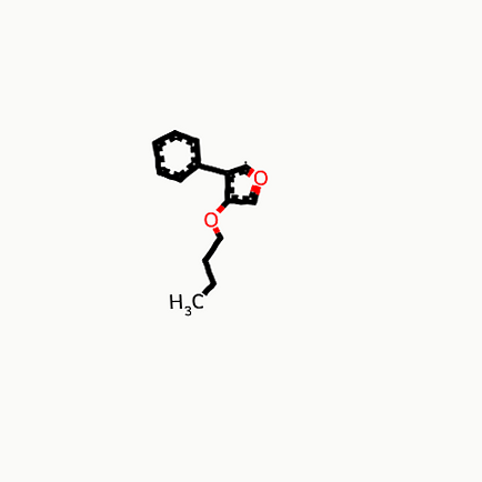 CCCCOc1co[c]c1-c1ccccc1